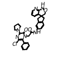 O=C(Cn1c(-c2ccccc2)c(Cl)nc(N2CCCC2)c1=O)Nc1ccc2c(c1)CC1(CONc3ncccc31)C2